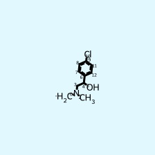 [CH2]N(C)CC(O)c1ccc(Cl)cc1